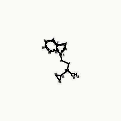 CN(CCn1ccc2ccccc21)C1CC1